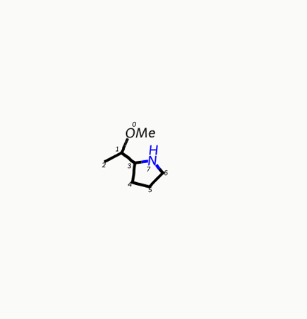 COC(C)C1CCCN1